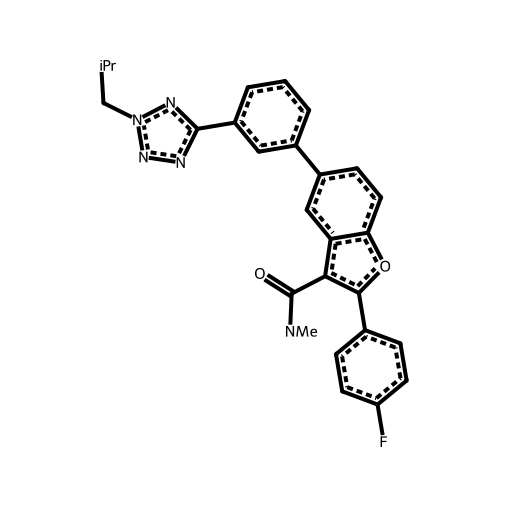 CNC(=O)c1c(-c2ccc(F)cc2)oc2ccc(-c3cccc(-c4nnn(CC(C)C)n4)c3)cc12